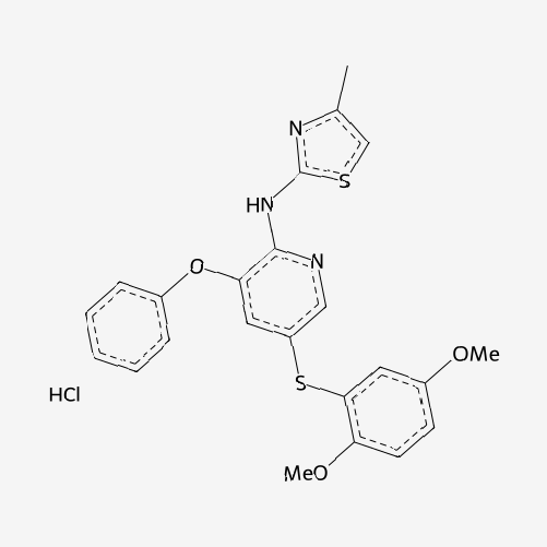 COc1ccc(OC)c(Sc2cnc(Nc3nc(C)cs3)c(Oc3ccccc3)c2)c1.Cl